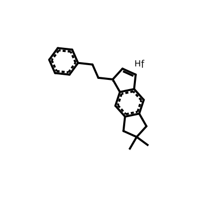 CC1(C)Cc2cc3c(cc2C1)[C](CCc1ccccc1)C=C3.[Hf]